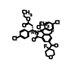 CCOC(=O)C[C@@H](c1ccc(Cl)cc1)N1C(=O)c2cc(C(=O)C3(F)CCOCC3)cc(F)c2[C@]1(OC)c1ccc(Cl)cc1